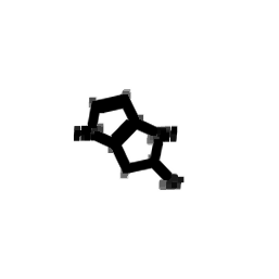 BrC1Cc2[nH]ccc2N1